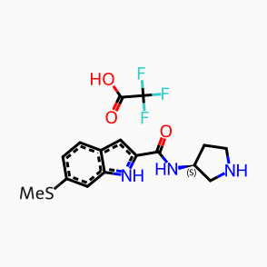 CSc1ccc2cc(C(=O)N[C@H]3CCNC3)[nH]c2c1.O=C(O)C(F)(F)F